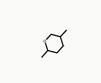 CC1[C]CC(C)OC1